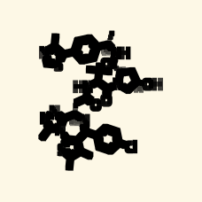 Cc1ncsc1-c1ccc([C@H](C)NC(=O)[C@@H]2C[C@@H](O)CN2C(=O)C(NC(=O)C[C@@H]2N=C(c3ccc(Cl)cc3)c3c(sc(C)c3C)-n3c(C)nnc32)C(C)(C)C)cc1